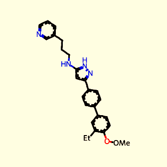 CCc1cc(-c2ccc(-c3cc(NCCCc4cccnc4)[nH]n3)cc2)ccc1OOC